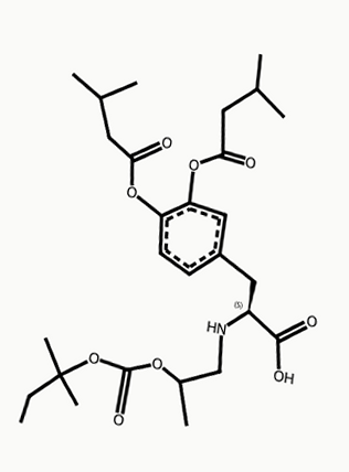 CCC(C)(C)OC(=O)OC(C)CN[C@@H](Cc1ccc(OC(=O)CC(C)C)c(OC(=O)CC(C)C)c1)C(=O)O